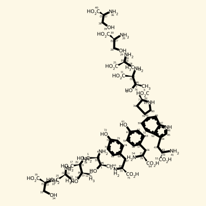 C[C@@H](O)[C@H](N)C(=O)O.C[C@@H](O)[C@H](N)C(=O)O.C[C@@H](O)[C@H](N)C(=O)O.C[C@H](N)C(=O)O.C[C@H](N)C(=O)O.N[C@@H](CO)C(=O)O.N[C@@H](CO)C(=O)O.N[C@@H](CO)C(=O)O.N[C@@H](Cc1c[nH]c2ccccc12)C(=O)O.N[C@@H](Cc1ccc(O)cc1)C(=O)O.N[C@@H](Cc1ccc(O)cc1)C(=O)O.O=C(O)[C@@H]1CCCN1